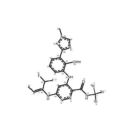 [2H]C([2H])([2H])NC(=O)c1nnc(N/C(=C/C)C(F)F)cc1Nc1cccc(-c2ncn(C)n2)c1OC